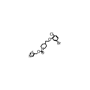 O=C(OCc1cncs1)N1CCC(CCOc2cc(Br)ccc2Cl)CC1